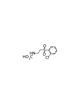 O=C(O)NCCS(=O)(=O)c1ccccc1Cl